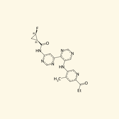 CCC(=O)c1cc(C)c(Nc2cncnc2-c2cc(NC(=O)[C@H]3C[C@H]3F)ncn2)cn1